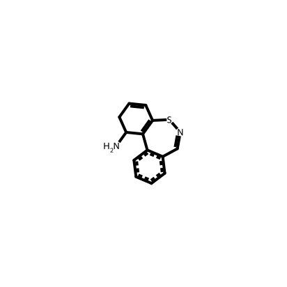 NC1CC=CC2=C1c1ccccc1C=NS2